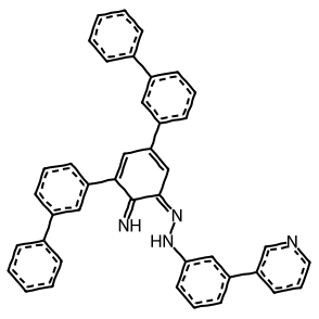 N=C1C(c2cccc(-c3ccccc3)c2)=CC(c2cccc(-c3ccccc3)c2)=C/C1=N/Nc1cccc(-c2cccnc2)c1